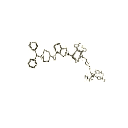 C[Si](C)(C)CCOCn1ncc(N2Cc3cccc(OC4CCN(C(c5ccccc5)c5ccccc5)CC4)c3C2)c(C(F)(F)F)c1=O